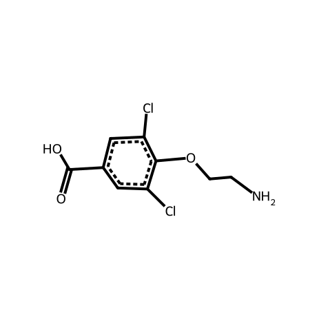 NCCOc1c(Cl)cc(C(=O)O)cc1Cl